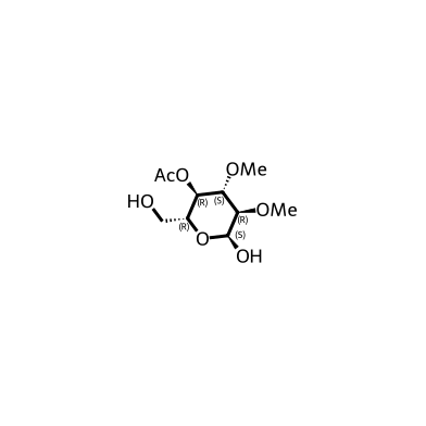 CO[C@@H]1[C@@H](OC)[C@@H](O)O[C@H](CO)[C@H]1OC(C)=O